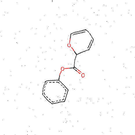 O=C(Oc1ccccc1)C1C=CC=CO1